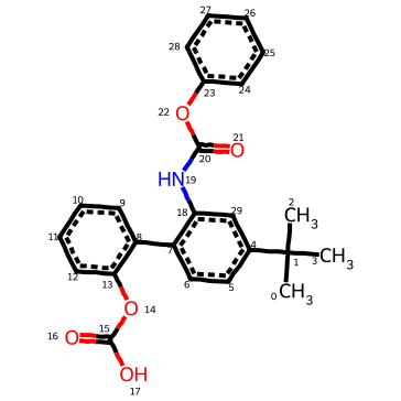 CC(C)(C)c1ccc(-c2ccccc2OC(=O)O)c(NC(=O)Oc2ccccc2)c1